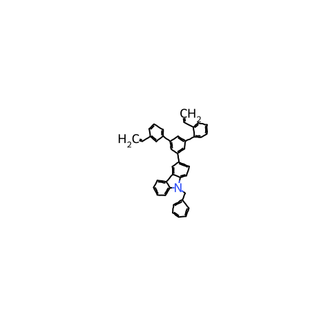 C=Cc1cccc(-c2cc(-c3ccc4c(c3)c3ccccc3n4Cc3ccccc3)cc(-c3ccccc3C=C)c2)c1